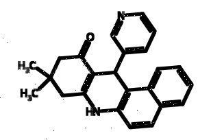 CC1(C)CC(=O)C2=C(C1)Nc1ccc3ccccc3c1C2c1cccnc1